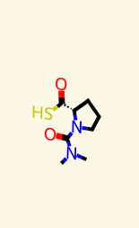 CN(C)C(=O)N1CCC[C@H]1C(=O)S